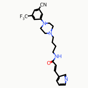 N#Cc1cc(N2CCN(CCCCNC(=O)C=Cc3cccnc3)CC2)cc(C(F)(F)F)c1